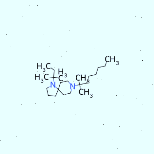 CCCCCCC(C)(C)N1CCC2(CCCN2C(C)(C)CC)CC1